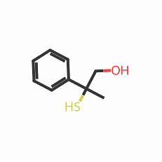 CC(S)(CO)c1ccccc1